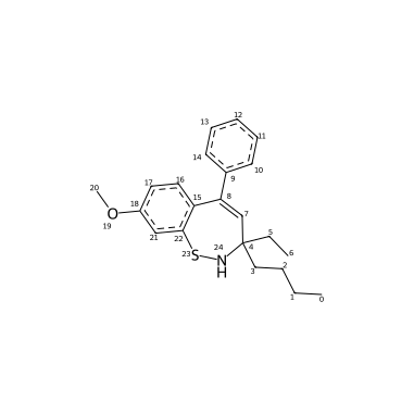 CCCCC1(CC)C=C(c2ccccc2)c2ccc(OC)cc2SN1